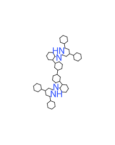 C1CCC(C2CC(C3CCCCC3)NC(N3C4CCCCC4C4CC(C5CCC6C(C5)C5CCCCC5N6C5CC(C6CCCCC6)CC(C6CCCCC6)N5)CCC43)C2)CC1